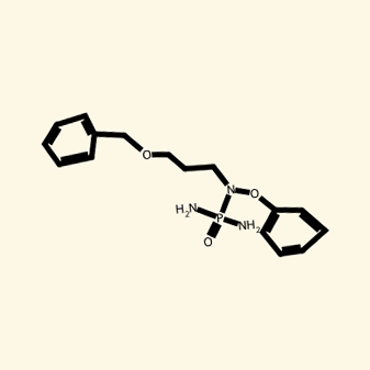 NP(N)(=O)N(CCCOCc1ccccc1)Oc1ccccc1